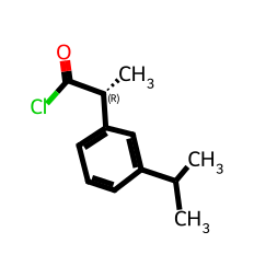 CC(C)c1cccc([C@@H](C)C(=O)Cl)c1